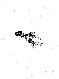 CCOC(Cc1ccc(OCCN(CCOC(F)(F)C(F)(F)C(F)(F)C(F)(F)F)C(=O)Oc2ccc3c(c2)CCC3)cc1)C(=O)O